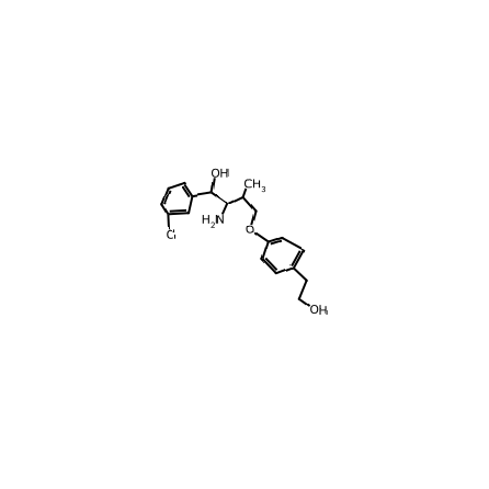 CC(COc1ccc(CCO)cc1)C(N)C(O)c1cccc(Cl)c1